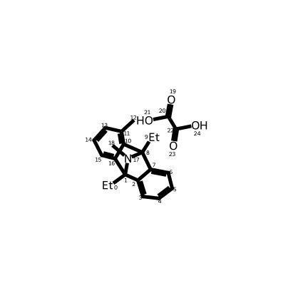 CCC12c3ccccc3C(CC)(c3c(C)cccc31)N2C.O=C(O)C(=O)O